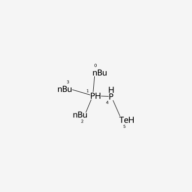 CCCC[PH](CCCC)(CCCC)P[TeH]